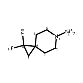 NN1CCC2(CC1)CC2(F)F